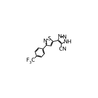 N#Cc1[nH]nnc1-c1cc(-c2ccc(C(F)(F)F)cc2)ns1